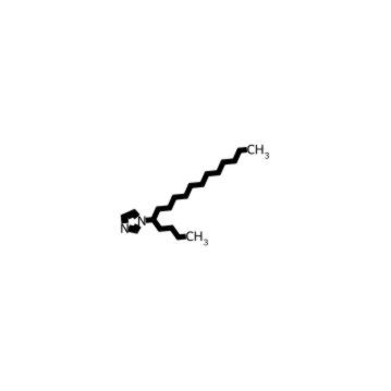 CCCCCCCCCCCCC(CCCC)n1ccnc1